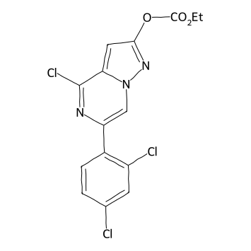 CCOC(=O)Oc1cc2c(Cl)nc(-c3ccc(Cl)cc3Cl)cn2n1